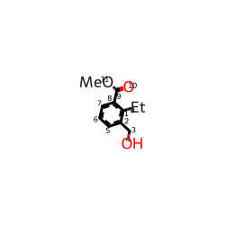 CCc1c(CO)cccc1C(=O)OC